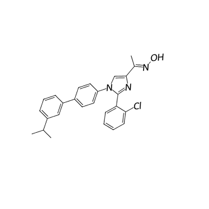 C/C(=N\O)c1cn(-c2ccc(-c3cccc(C(C)C)c3)cc2)c(-c2ccccc2Cl)n1